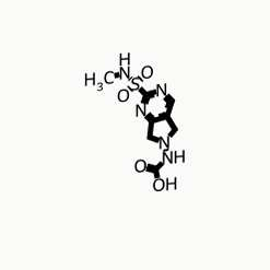 CNS(=O)(=O)c1ncc2c(n1)CN(NC(=O)O)C2